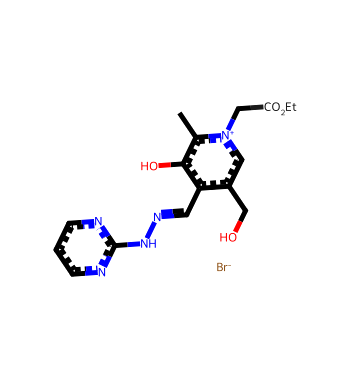 CCOC(=O)C[n+]1cc(CO)c(C=NNc2ncccn2)c(O)c1C.[Br-]